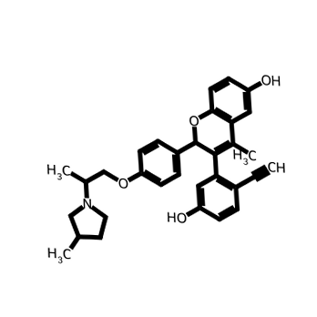 C#Cc1ccc(O)cc1C1=C(C)c2cc(O)ccc2OC1c1ccc(OCC(C)N2CCC(C)C2)cc1